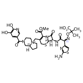 COC(=O)C1=C(C[N+]23CCC[C@H]2CN(C(=O)c2cnc(O)c(O)c2)CC3)CS[C@@H]2[C@H](NC(=O)/C(=N\OC(C)(C)C(=O)O)c3csc(N)n3)C(=O)N12